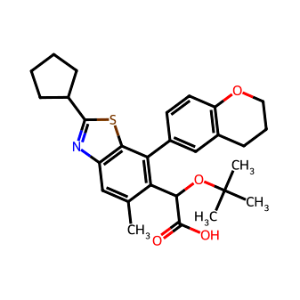 Cc1cc2nc(C3CCCC3)sc2c(-c2ccc3c(c2)CCCO3)c1C(OC(C)(C)C)C(=O)O